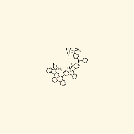 CC1(C)c2ccccc2-c2ccc(N(C3=CC4=c5ccccc5=C5C6=CC=C(N(c7ccccc7)c7ccc([Si](C)(C)C)cc7)C[C@@H]6O[C@@H]5C4C=C3)c3ccccc3-c3ccccc3)cc21